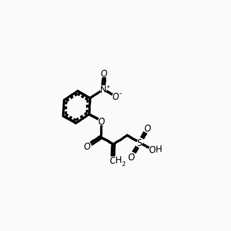 C=C(CS(=O)(=O)O)C(=O)Oc1ccccc1[N+](=O)[O-]